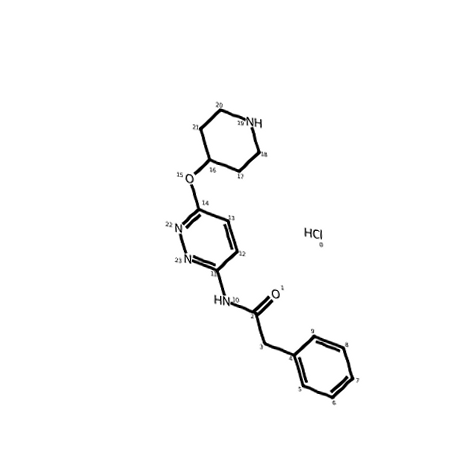 Cl.O=C(Cc1ccccc1)Nc1ccc(OC2CCNCC2)nn1